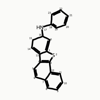 C1=c2sc3c(ccc4ccccc43)c2=CCC1Nc1ccccc1